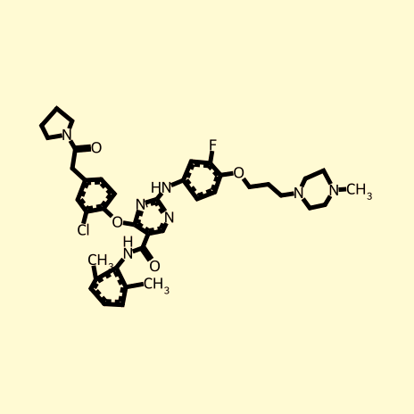 Cc1cccc(C)c1NC(=O)c1cnc(Nc2ccc(OCCCN3CCN(C)CC3)c(F)c2)nc1Oc1ccc(CC(=O)N2CCCC2)cc1Cl